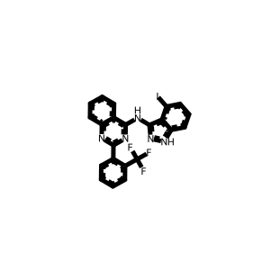 FC(F)(F)c1ccccc1-c1nc(Nc2n[nH]c3cccc(I)c23)c2ccccc2n1